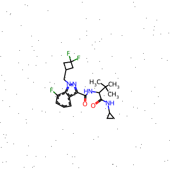 CC(C)(C)C(NC(=O)c1nn(CC2CC(F)(F)C2)c2c(F)cccc12)C(=O)NC1CC1